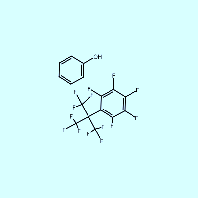 Fc1c(F)c(F)c(C(C(F)(F)F)(C(F)(F)F)C(F)(F)F)c(F)c1F.Oc1ccccc1